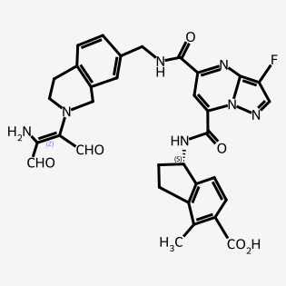 Cc1c(C(=O)O)ccc2c1CC[C@@H]2NC(=O)c1cc(C(=O)NCc2ccc3c(c2)CN(/C(C=O)=C(\N)C=O)CC3)nc2c(F)cnn12